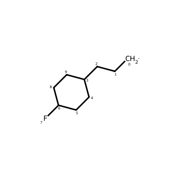 [CH2]CCC1CCC(F)CC1